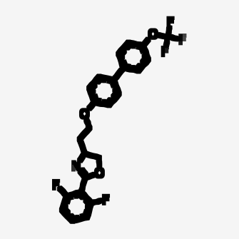 Fc1cccc(F)c1C1=NC(CCOc2ccc(-c3ccc(OC(F)(F)F)cc3)cc2)CO1